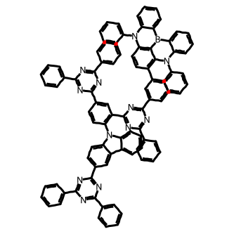 c1ccc(-c2nc(-c3ccccc3)nc(-c3ccc(-n4c5ccccc5c5cc(-c6nc(-c7ccccc7)nc(-c7ccccc7)n6)ccc54)c(-c4nc(-c5ccccc5)nc(-c5cccc(-c6ccc7c8c6N(c6ccccc6)c6ccccc6B8c6ccccc6N7c6ccccc6)c5)n4)c3)n2)cc1